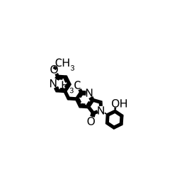 COc1ccc(Cc2cc3c(nc2C)CN([C@H]2CCCC[C@@H]2O)C3=O)cn1